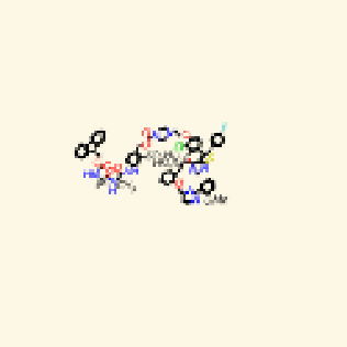 COc1ccccc1-c1nccc(COc2ccccc2C[C@@H](Cc2ncnc3sc(-c4ccc(F)cc4)c(-c4ccc(OCCN5CCN(C(=O)OCc6ccc(NC(=O)[C@H](C)NC(=O)[C@@H](NC(=O)OCC7c8ccccc8-c8ccccc87)C(C)C)cc6S(=O)(=O)O)CC5)c(Cl)c4C)c23)C(=O)O)n1